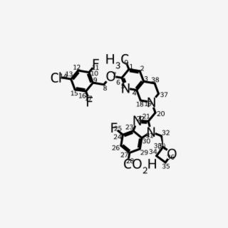 Cc1cc2c(nc1OCc1c(F)cc(Cl)cc1F)CN(Cc1nc3c(F)cc(C(=O)O)cc3n1C[C@@H]1CCO1)CC2